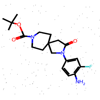 CC(C)(C)OC(=O)N1CCC2(CC1)CC(=O)N(c1ccc(N)c(F)c1)C2